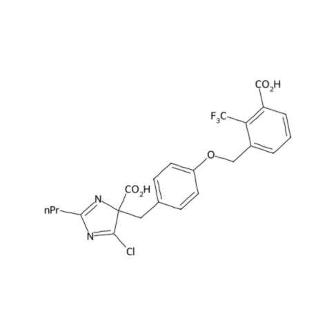 CCCC1=NC(Cc2ccc(OCc3cccc(C(=O)O)c3C(F)(F)F)cc2)(C(=O)O)C(Cl)=N1